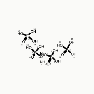 N.O=P(O)(O)O.O=P(O)(O)O.O=P(O)(O)O.O=P(O)(O)O